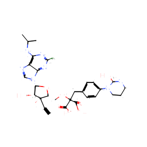 C#C[C@@]1(O)[C@@H](COC(Cc2ccc(N3CCCNC3O)cc2)(C(=O)O)C(=O)O)O[C@@H](n2cnc3c(NC(C)C)nc(Cl)nc32)[C@@H]1O